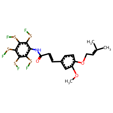 COc1cc(C=CC(=O)Nc2c(SF)c(SF)c(SF)c(SF)c2SF)ccc1OCC=C(C)C